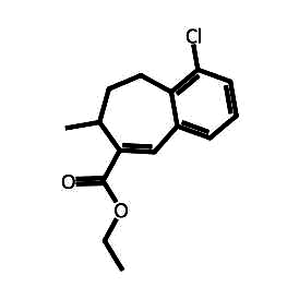 CCOC(=O)C1=Cc2cccc(Cl)c2CCC1C